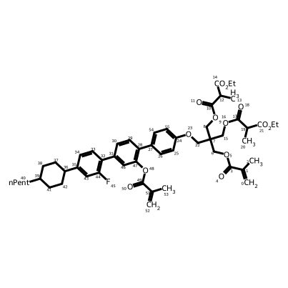 C=C(C)C(=O)OCC(COC(=O)C(C)C(=O)OCC)(COC(=O)C(C)C(=O)OCC)COc1ccc(-c2ccc(-c3ccc(C4CCC(CCCCC)CC4)cc3F)cc2OC(=O)C(=C)C)cc1